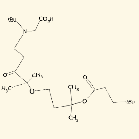 CC(C)(C)CCC(=O)OC(C)(C)CCOC(C)(C)C(=O)CCN(CC(=O)O)C(C)(C)C